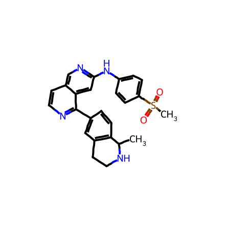 CC1NCCc2cc(-c3nccc4cnc(Nc5ccc(S(C)(=O)=O)cc5)cc34)ccc21